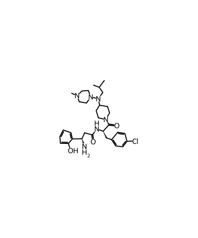 CC(C)CN(C1CCN(C(=O)[C@@H](Cc2ccc(Cl)cc2)NC(=O)C[C@@H](N)c2ccccc2O)CC1)N1CCN(C)CC1